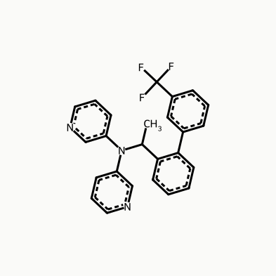 CC(c1ccccc1-c1cccc(C(F)(F)F)c1)N(c1cccnc1)c1cccnc1